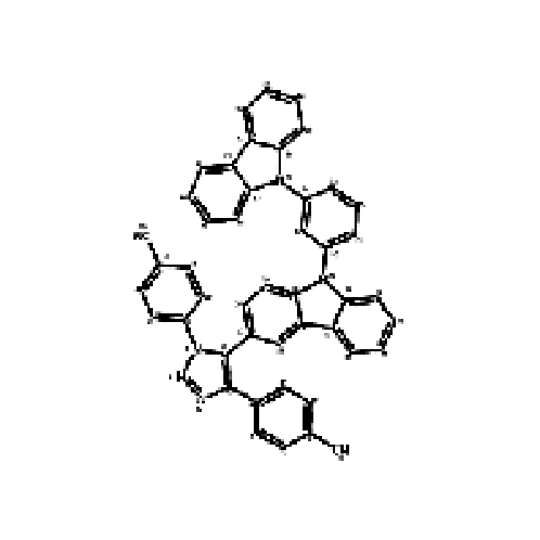 N#Cc1ccc(-c2nnn(-c3ccc(C#N)cc3)c2-c2ccc3c(c2)c2ccccc2n3-c2cccc(-n3c4ccccc4c4ccccc43)c2)cc1